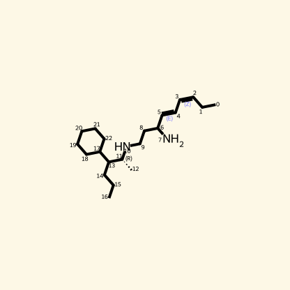 CC/C=C\C=C\C(N)CCN[C@H](C)C(CCC)C1CCCCC1